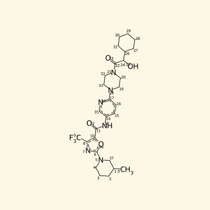 CC1CCCN(c2nc(C(F)(F)F)c(C(=O)Nc3ccc(N4CCN(C(=O)C(O)C5CCCCC5)CC4)nc3)o2)C1